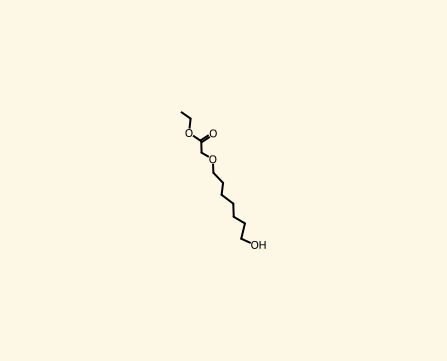 CCOC(=O)COCCCCCCCO